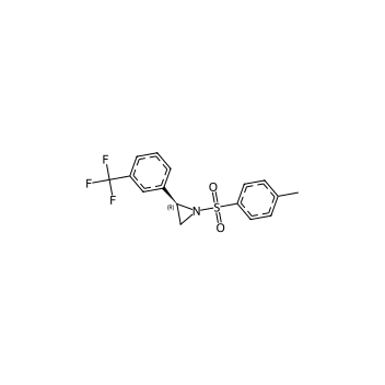 Cc1ccc(S(=O)(=O)N2C[C@H]2c2cccc(C(F)(F)F)c2)cc1